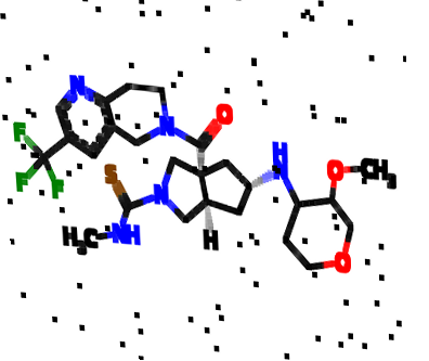 CNC(=S)N1C[C@@H]2C[C@@H](NC3CCOCC3OC)C[C@]2(C(=O)N2CCc3ncc(C(F)(F)F)cc3C2)C1